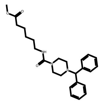 COC(=O)CCCCCNC(=O)N1CCN(C(c2ccccc2)c2ccccc2)CC1